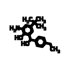 CCc1ccc(C(O)c2cc(C(C)(C)C)cc(N)c2O)cc1